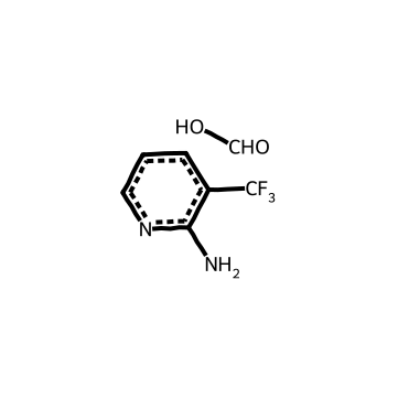 Nc1ncccc1C(F)(F)F.O=CO